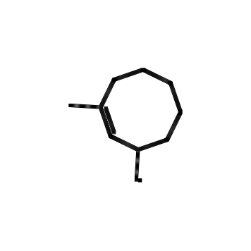 [CH2]C1C=C(C)CCCCC1